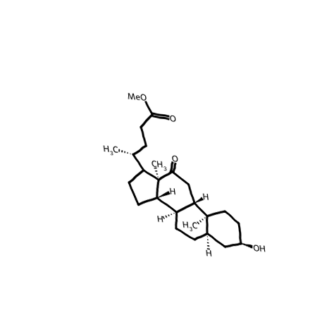 COC(=O)CC[C@@H](C)C1CC[C@H]2[C@@H]3CC[C@@H]4C[C@H](O)CC[C@]4(C)[C@H]3CC(=O)[C@]12C